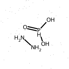 NN.O=[PH](O)O